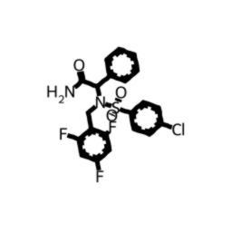 NC(=O)C(c1ccccc1)N(Cc1c(F)cc(F)cc1F)S(=O)(=O)c1ccc(Cl)cc1